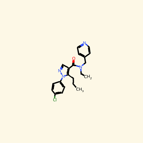 CCCc1c(C(=O)N(CC)Cc2ccncc2)cnn1-c1ccc(Cl)cc1